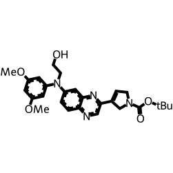 COc1cc(OC)cc(N(CCO)c2ccc3ncc(C4=CCN(C(=O)OC(C)(C)C)C4)nc3c2)c1